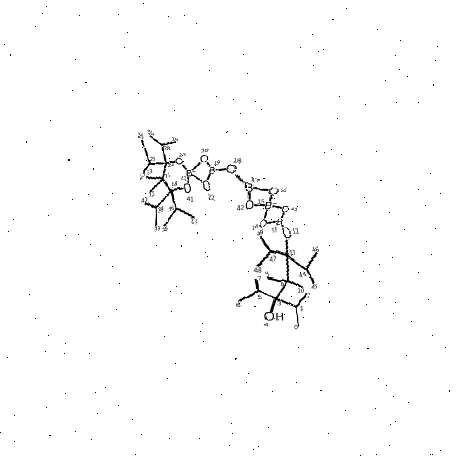 CC(C)C(O)(C(C)C)C(C)(C)C(OB1O[B-]2(OB(OB3O[B-]4(O3)OC(C(C)C)(C(C)C)C(C)(C)C(C(C)C)(C(C)C)O4)O2)O1)(C(C)C)C(C)C